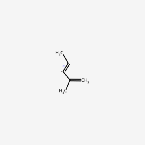 C=C(C)/[C]=C/C